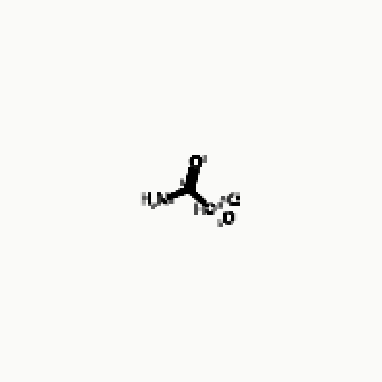 NC(=O)O.[C].[O]